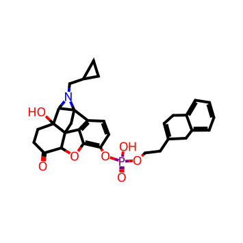 O=C1CCC2(O)C3N(CC4CC4)C34CC23c2c4ccc(OP(=O)(O)OCCC4=CCc5ccccc5C4)c2OC13